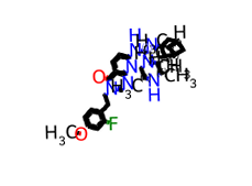 COc1ccc(CCn2cnc3nc(N/C(=N/C4C[C@H]5C[C@@H]([C@@H]4C)C5(C)C)N4C[C@@H](C)N[C@@H](C)C4)ccc3c2=O)c(F)c1